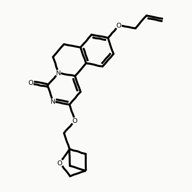 C=CCOc1ccc2c(c1)CCn1c-2cc(OCC23CC(CO2)C3)nc1=O